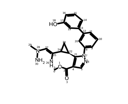 COC(=O)c1cnn(-c2cccc(-c3cccc(O)c3)c2)c1[C@@H]1CC1/C(N)=C/N(C)N